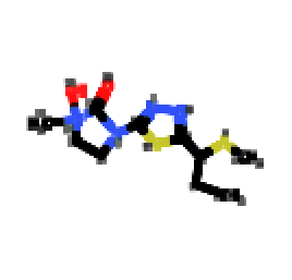 CCC(SC)c1nnc(N2CC[N+](C)(O)C2=O)s1